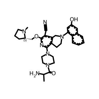 CC(N)C(=O)N1CCN(c2nc(OC[C@@H]3CCCN3C)c(C#N)c3c2CCN(c2cc(O)cc4ccccc24)C3)CC1